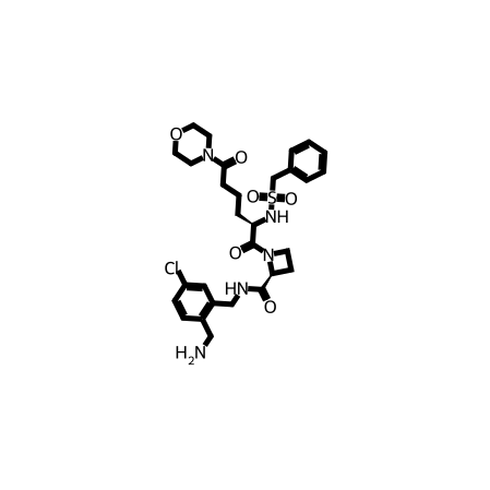 NCc1ccc(Cl)cc1CNC(=O)[C@@H]1CCN1C(=O)[C@@H](CCCC(=O)N1CCOCC1)NS(=O)(=O)Cc1ccccc1